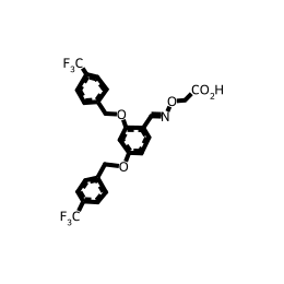 O=C(O)CON=Cc1ccc(OCc2ccc(C(F)(F)F)cc2)cc1OCc1ccc(C(F)(F)F)cc1